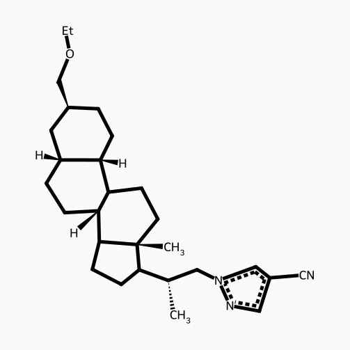 CCOC[C@H]1CC[C@@H]2C3CC[C@@]4(C)C(CCC4[C@@H](C)Cn4cc(C#N)cn4)[C@@H]3CC[C@@H]2C1